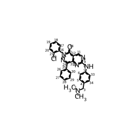 CN(C)Cc1ccc(Nc2ncc3c(=O)n(-c4ccccc4Cl)nc(-c4ccccc4)c3n2)cc1